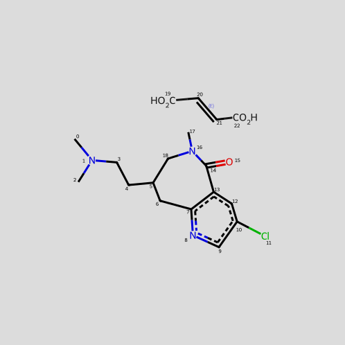 CN(C)CCC1Cc2ncc(Cl)cc2C(=O)N(C)C1.O=C(O)/C=C/C(=O)O